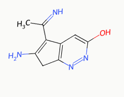 CC(=N)C1=C(N)Cc2nnc(O)cc21